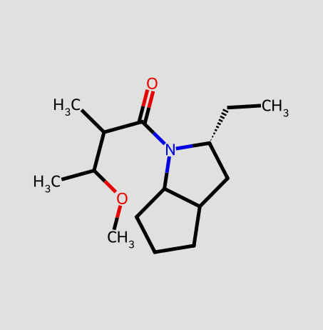 CC[C@@H]1CC2CCCC2N1C(=O)C(C)C(C)OC